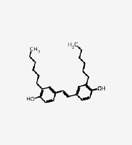 CCCCCCc1cc(/C=C/c2ccc(O)c(CCCCCC)c2)ccc1O